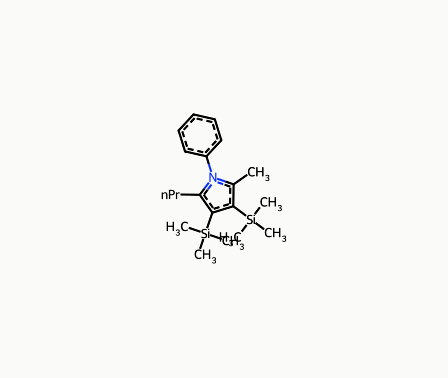 CCCc1c([Si](C)(C)C)c([Si](C)(C)C)c(C)n1-c1ccccc1